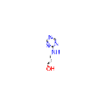 OC=CCNc1ncncn1